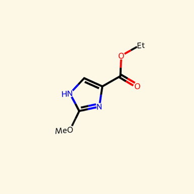 CCOC(=O)c1c[nH]c(OC)n1